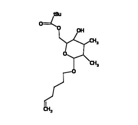 C=CCCCCOC1OC(COC(=O)C(C)(C)C)C(O)C(C)C1C